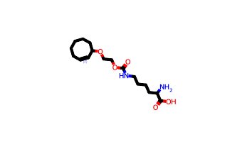 NC(CCCCNC(=O)OCCOC1/C=C\CCCCC1)C(=O)O